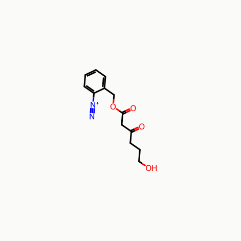 N#[N+]c1ccccc1COC(=O)CC(=O)CCCO